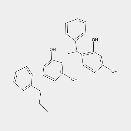 CC(c1ccccc1)c1ccc(O)cc1O.Oc1cccc(O)c1.[CH2]CCc1ccccc1